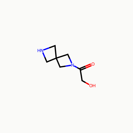 O=C(CO)N1CC2(CNC2)C1